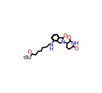 CC(C)(C)C(=O)CCCCCCNc1cccc2c1CN(C1CCC(=O)NC1=O)C2=O